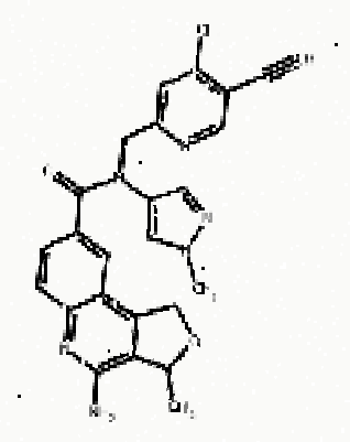 C#Cc1cnc(CN(C(=O)c2ccc3nc(N)c4c(c3c2)COC4C)c2cnn(C)c2)cc1C